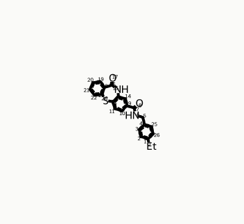 CCc1ccc(CNC(=O)c2ccc3c(c2)NC(=O)c2ccccc2S3)cc1